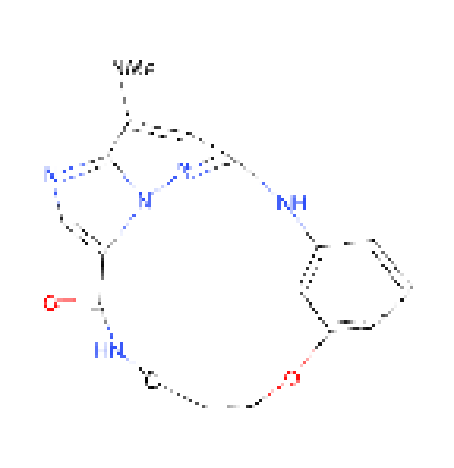 CNc1cc2nn3c(cnc13)C(=O)NCCCOc1cccc(c1)N2